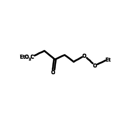 CCOOCCC(=O)CC(=O)OCC